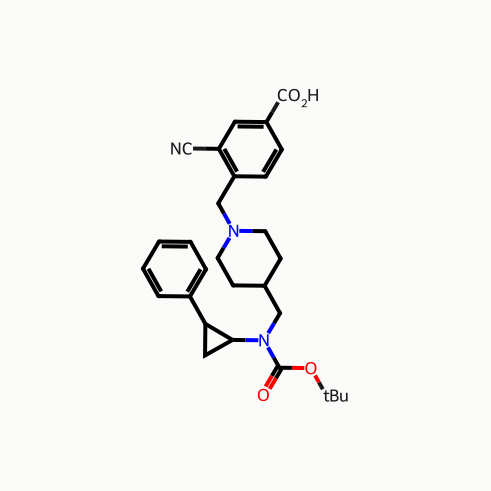 CC(C)(C)OC(=O)N(CC1CCN(Cc2ccc(C(=O)O)cc2C#N)CC1)C1CC1c1ccccc1